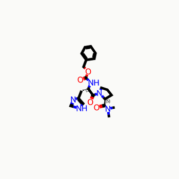 CN(C)C(=O)[C@@H]1CCCN1C(=O)[C@H](Cc1c[nH]cn1)NC(=O)OCc1ccccc1